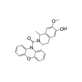 COc1cc2c(cc1O)CCN(C(=O)N1c3ccccc3Oc3ccccc31)C2C